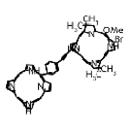 COc1c2nc(cc3cc(C#Cc4ccc(-c5c6nc(cc7ccc(cc8nc(cc9ccc5[nH]9)C=C8)[nH]7)C=C6)cc4)c(cc4nc(cc5cc(Br)c1[nH]5)C(C)(C)C4)[nH]3)C(C)(C)C2